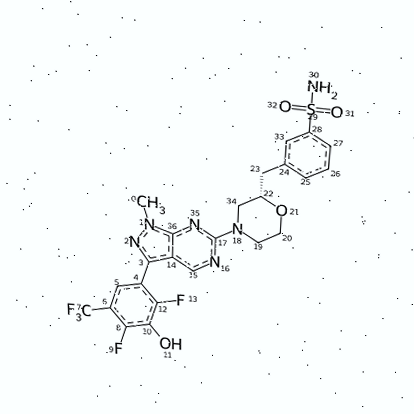 Cn1nc(-c2cc(C(F)(F)F)c(F)c(O)c2F)c2cnc(N3CCO[C@@H](Cc4cccc(S(N)(=O)=O)c4)C3)nc21